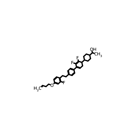 C=CCCOc1ccc(CCc2ccc(C3=CCC(C4CCC(C(C)O)CC4)C(F)=C3F)cc2)c(F)c1